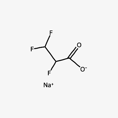 O=C([O-])C(F)C(F)F.[Na+]